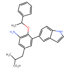 CC(Cc1cc(N)c(OC(C)c2ccccc2)c(-c2ccc3[nH]ccc3c2)c1)C(=O)O